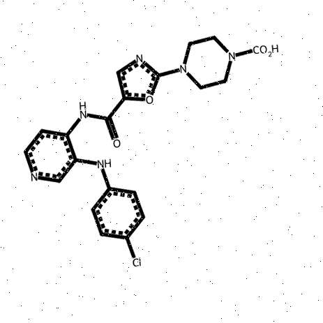 O=C(Nc1ccncc1Nc1ccc(Cl)cc1)c1cnc(N2CCN(C(=O)O)CC2)o1